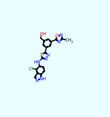 Cc1noc(-c2cc(CO)cc(-c3nnc(Nc4ccc5[nH]ncc5c4Cl)s3)c2)n1